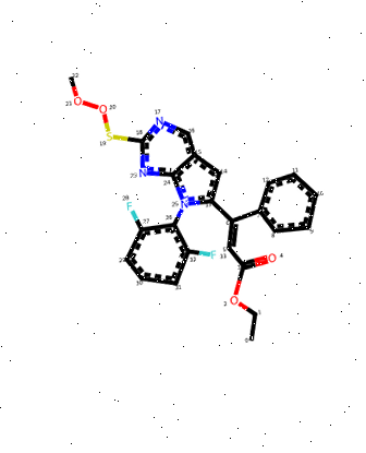 CCOC(=O)C=C(c1ccccc1)c1cc2cnc(SOOC)nc2n1-c1c(F)cccc1F